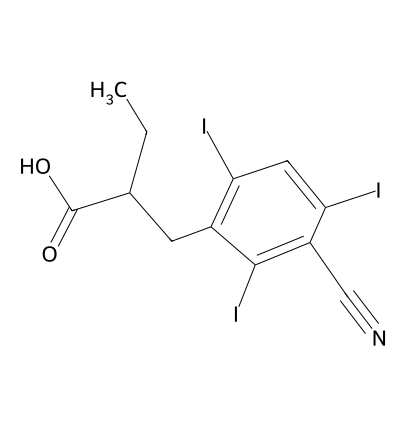 CCC(Cc1c(I)cc(I)c(C#N)c1I)C(=O)O